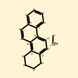 CCCC.c1ccc2c(c1)ccc1c3c(ccc12)CCCC3